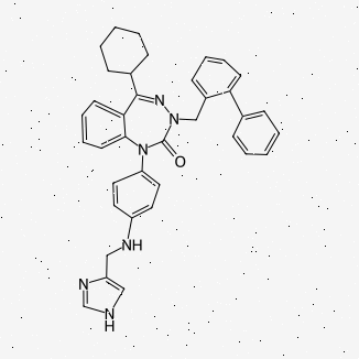 O=C1N(Cc2ccccc2-c2ccccc2)N=C(C2CCCCC2)c2ccccc2N1c1ccc(NCc2c[nH]cn2)cc1